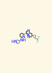 FC(F)COc1cnn2c(-c3cccc(NC4CCNC4)n3)cnc2c1